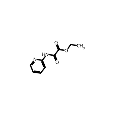 CCOC(=O)C(=O)Nc1ccccn1